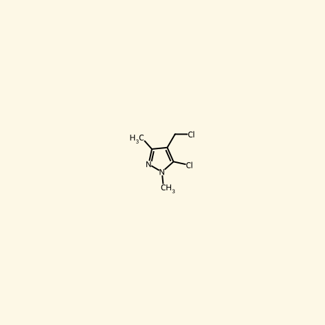 Cc1nn(C)c(Cl)c1CCl